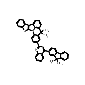 CC1(C)c2ccccc2-c2ccc(-c3nc(-c4ccc5c(c4)C(C)(C)c4cccc6c7c8ccccc8oc7n-5c46)nc4ccccc34)cc21